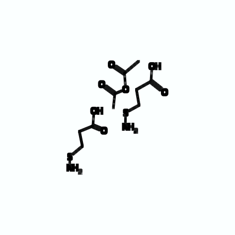 CC(=O)OC(C)=O.NSCCC(=O)O.NSCCC(=O)O